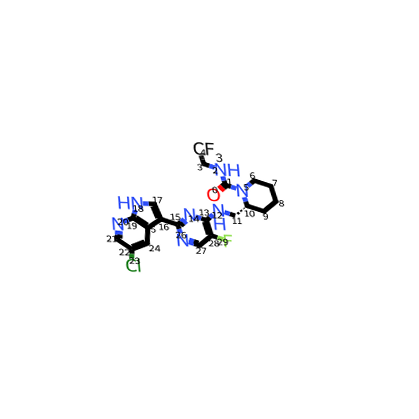 O=C(NCC(F)(F)F)N1CCCC[C@@H]1CNc1nc(-c2c[nH]c3ncc(Cl)cc23)ncc1F